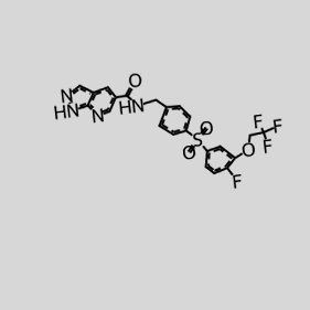 O=C(NCc1ccc(S(=O)(=O)c2ccc(F)c(OCC(F)(F)F)c2)cc1)c1cnc2[nH]ncc2c1